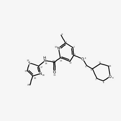 Cc1cc(OCC2CCOCC2)cc(C(=O)Nc2nc(C)cs2)n1